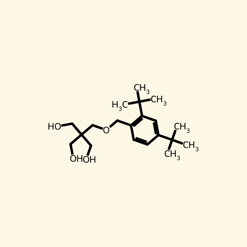 CC(C)(C)c1ccc(COCC(CO)(CO)CO)c(C(C)(C)C)c1